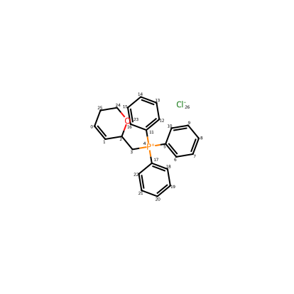 C1=CC(C[P+](c2ccccc2)(c2ccccc2)c2ccccc2)OCC1.[Cl-]